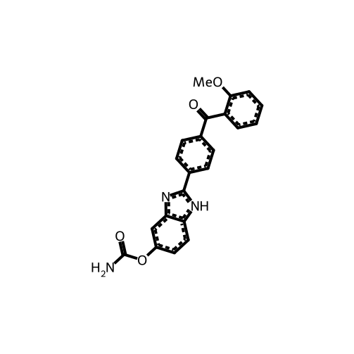 COc1ccccc1C(=O)c1ccc(-c2nc3cc(OC(N)=O)ccc3[nH]2)cc1